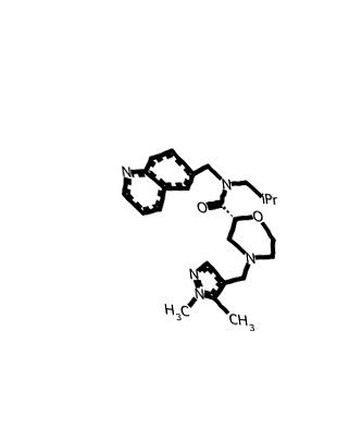 Cc1c(CN2CCO[C@@H](C(=O)N(Cc3ccc4ncccc4c3)CC(C)C)C2)cnn1C